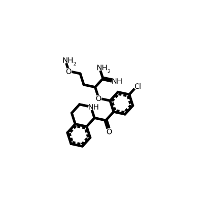 N=C(N)C(CCON)Oc1cc(Cl)ccc1C(=O)C1NCCc2ccccc21